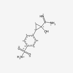 N=C(N)C1(O)CC1c1ccc(S(N)(=O)=O)cc1